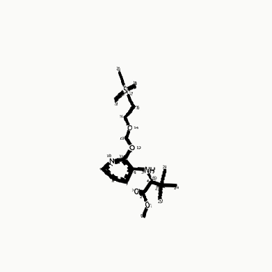 COC(=O)[C@@H](Nc1cccnc1OCOCC[Si](C)(C)C)C(C)(C)C